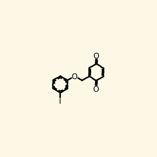 O=C1C=CC(=O)C(COc2cccc(I)c2)=C1